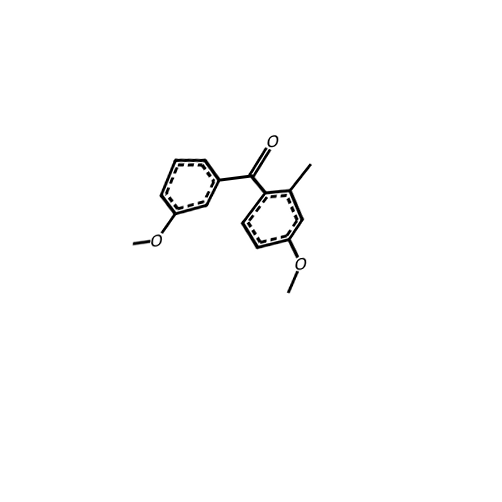 COc1cccc(C(=O)c2ccc(OC)cc2C)c1